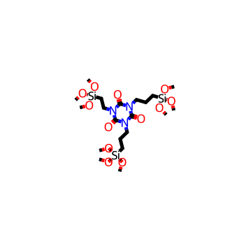 CO[Si](CCCn1c(=O)n(CCC[Si](OC)(OC)OC)c(=O)n(CC[Si](OC)(OC)OC)c1=O)(OC)OC